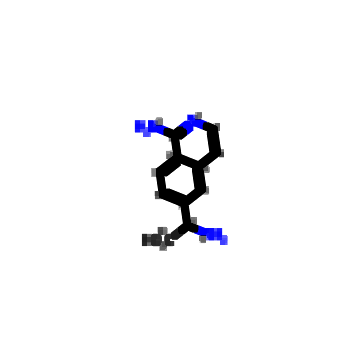 Nc1nccc2cc(C(N)C(=O)O)ccc12